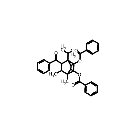 CC1C(C(=O)c2ccccc2)C2(C(C)C)CCC1(C)C(OC(=O)c1ccccc1)C2OC(=O)c1ccccc1